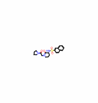 O=C(CN1CCC[C@H](NS(=O)(=O)c2ccc3ccccc3c2)C1=O)N1CCCC1